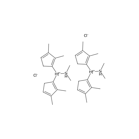 CC1=CC[C]([Hf+]([C]2=C(C)C(C)=CC2)[SiH](C)C)=C1C.CC1=CC[C]([Hf+]([C]2=C(C)C(C)=CC2)[SiH](C)C)=C1C.[Cl-].[Cl-]